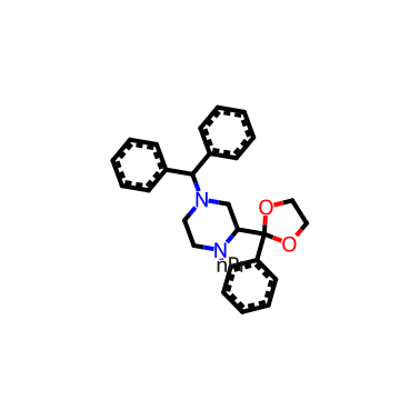 CCCN1CCN(C(c2ccccc2)c2ccccc2)CC1C1(c2ccccc2)OCCO1